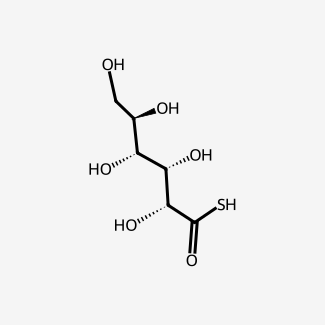 O=C(S)[C@H](O)[C@@H](O)[C@H](O)[C@H](O)CO